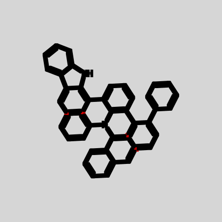 c1ccc(-c2ccccc2-c2cccc(-c3cccc4c3[nH]c3ccccc34)c2N(c2ccccc2)c2cccc3ccccc23)cc1